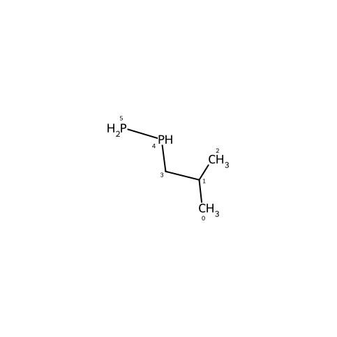 CC(C)CPP